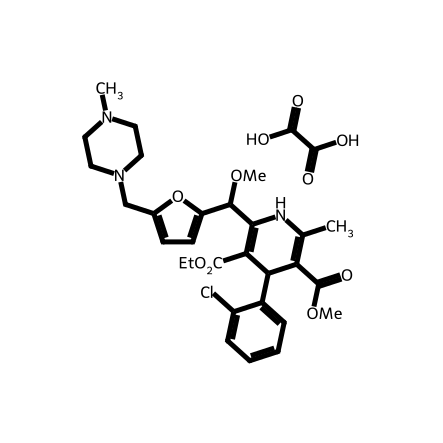 CCOC(=O)C1=C(C(OC)c2ccc(CN3CCN(C)CC3)o2)NC(C)=C(C(=O)OC)C1c1ccccc1Cl.O=C(O)C(=O)O